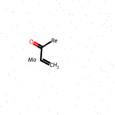 C=C[C](=O)[Re].[Mo]